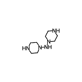 C1CN(NN2CCNCC2)CCN1